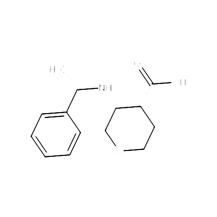 C[C@H](N[C@H]1COCC[C@H]1C(=O)O)c1ccccc1